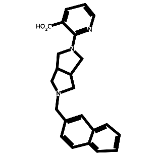 O=C(O)c1cccnc1N1CC2CN(Cc3ccc4ccccc4c3)CC2C1